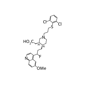 COc1ccc2nccc(C(F)CC[C@@H]3CCN(CCCSc4c(Cl)cccc4Cl)C[C@@H]3CC(=O)O)c2c1